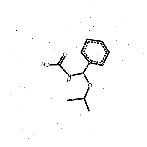 CC(C)OC(NC(=O)O)c1ccccc1